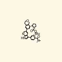 CN(C)C(=O)c1ccc(-c2c[nH]c3ncc(-c4cc5c(c([C@@H]6CCCN6C(=O)OC(C)(C)C)c4)COCC5)cc23)cn1